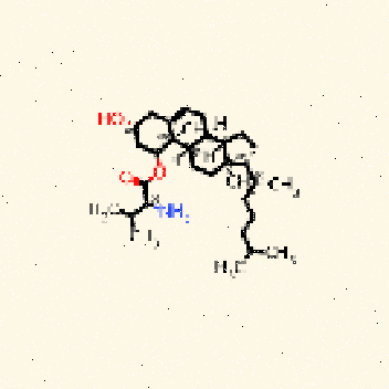 CC(C)CCC[C@@H](C)[C@H]1CC[C@H]2[C@@H]3CC=C4C[C@@H](O)CC(OC(=O)[C@@H](N)C(C)C)[C@]4(C)[C@H]3CC[C@]12C